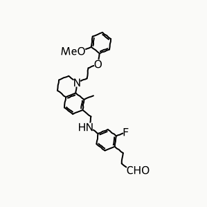 COc1ccccc1OCCN1CCCc2ccc(CNc3ccc(CCC=O)c(F)c3)c(C)c21